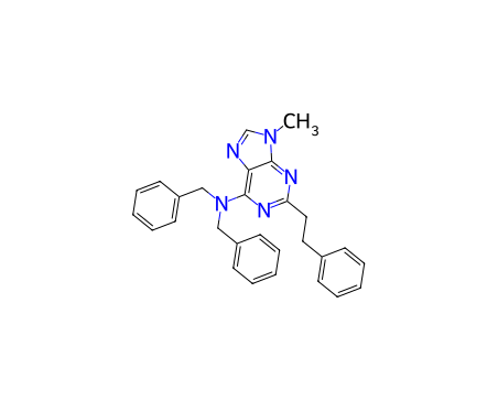 Cn1cnc2c(N(Cc3ccccc3)Cc3ccccc3)nc(CCc3ccccc3)nc21